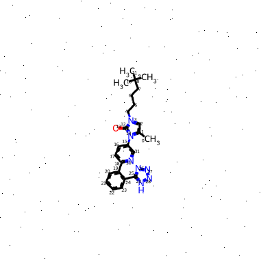 Cc1cn(CCCCC(C)(C)C)c(=O)n1-c1ccc(-c2ccccc2-c2nnn[nH]2)nc1